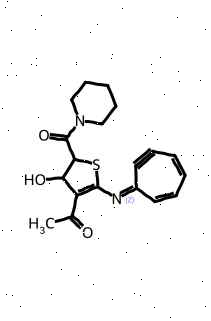 CC(=O)C1=C(/N=c2\c#ccccc2)SC(C(=O)N2CCCCC2)C1O